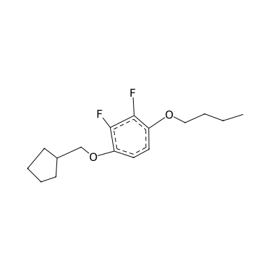 CCCCOc1ccc(OCC2CCCC2)c(F)c1F